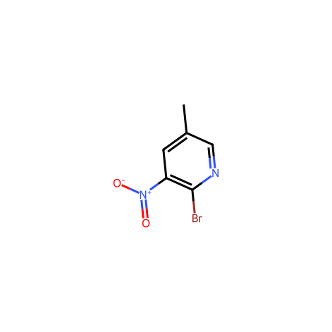 Cc1cnc(Br)c([N+](=O)[O-])c1